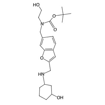 CC(C)(C)OC(=O)N(CCO)Cc1ccc2cc(CNC3CCCC(O)C3)oc2c1